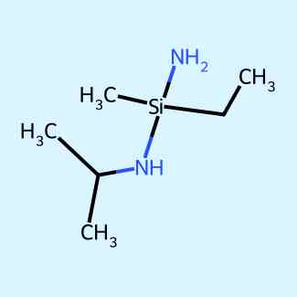 CC[Si](C)(N)NC(C)C